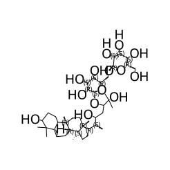 C[C@H](C(O)CC(O[C@@H]1O[C@H](CO[C@@H]2O[C@H](CO)[C@@H](O)[C@H](O)[C@H]2O)[C@@H](O)[C@H](O)[C@H]1O)C(C)(C)O)[C@H]1CC[C@@]2(C)[C@@H]3CC=C4C(CCC(O)C4(C)C)[C@]3(C)CC[C@]12C